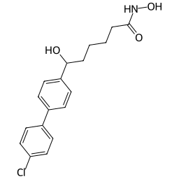 O=C(CCCCC(O)c1ccc(-c2ccc(Cl)cc2)cc1)NO